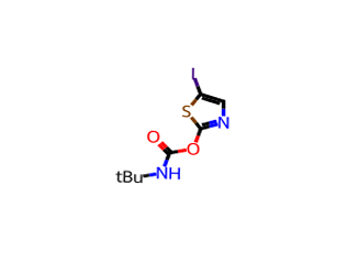 CC(C)(C)NC(=O)Oc1ncc(I)s1